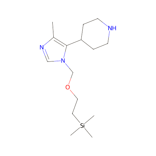 Cc1ncn(COCC[Si](C)(C)C)c1C1CCNCC1